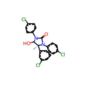 C[C@]1(c2cccc(Cl)c2)C(O)N(c2ccc(Cl)cc2)C(=O)N1c1ccc(Cl)cc1